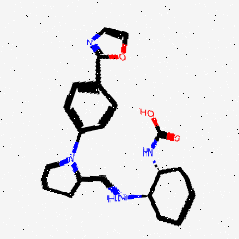 O=C(O)N[C@@H]1CCCC[C@H]1NCC1CCCN1c1ccc(-c2ncco2)cc1